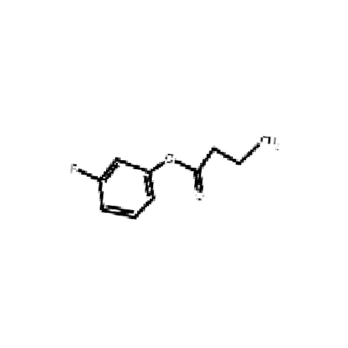 CCCC(=O)Oc1cccc(F)c1